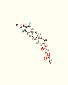 C=CC(=O)OCCC(=O)OC1CCC(C2CCC(C3CC(F)C(OC(F)(F)F)C(F)C3)CC2)CC1